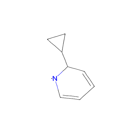 C1=C[N]C(C2CC2)C=C1